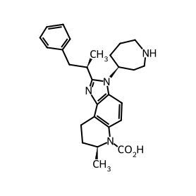 C[C@H](Cc1ccccc1)c1nc2c3c(ccc2n1[C@H]1CCCNCC1)N(C(=O)O)[C@@H](C)CC3